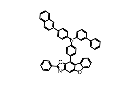 c1ccc(-c2cccc(N(c3ccc(-c4ccc5ccccc5c4)cc3)c3ccc(-c4c5oc(-c6ccccc6)nc5cc5oc6ccccc6c45)cc3)c2)cc1